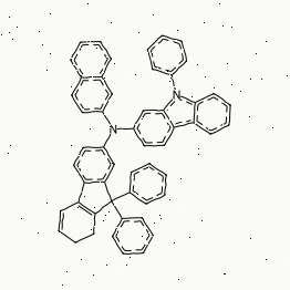 C1=CC2=C(CC1)C(c1ccccc1)(c1ccccc1)c1cc(N(c3ccc4ccccc4c3)c3ccc4c5ccccc5n(-c5ccccc5)c4c3)ccc12